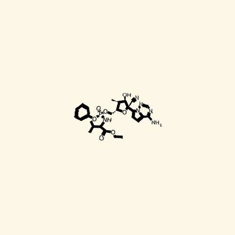 CCOC(=O)C(NP(=O)(OC[C@H]1O[C@@](C#N)(c2ccc3c(N)ncnn23)[C@H](O)[C@@H]1C)Oc1ccccc1)C(C)C